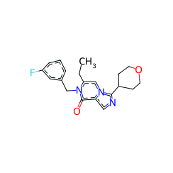 CCc1cn2c(C3CCOCC3)ncc2c(=O)n1Cc1cccc(F)c1